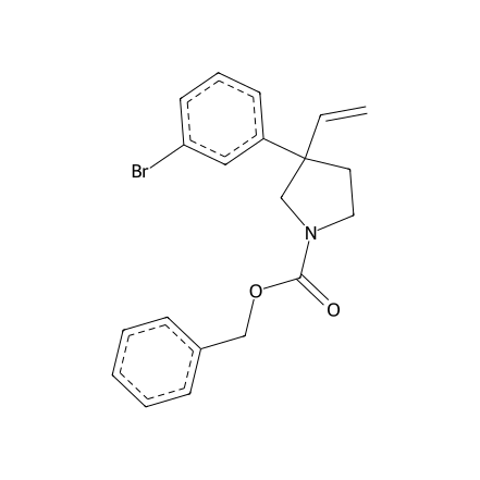 C=CC1(c2cccc(Br)c2)CCN(C(=O)OCc2ccccc2)C1